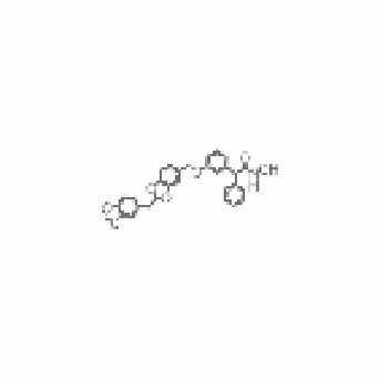 O=C(NO)C(c1ccccc1)c1cccc(OCc2ccc3c(c2)OC(Cc2ccc4c(c2)OCO4)O3)c1